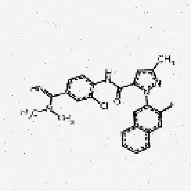 Cc1cc(C(=O)Nc2ccc(C(=N)N(C)C)cc2Cl)n(-c2cc3ccccc3cc2F)n1